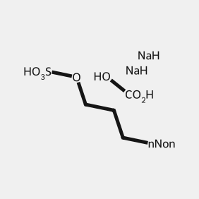 CCCCCCCCCCCCOS(=O)(=O)O.O=C(O)O.[NaH].[NaH]